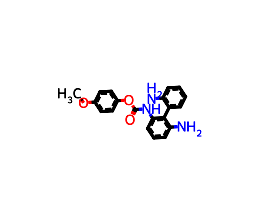 COc1ccc(OC(=O)Nc2cccc(N)c2-c2ccccc2N)cc1